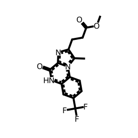 COC(=O)CCc1nc2c(=O)[nH]c3cc(C(F)(F)F)ccc3n2c1C